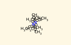 CCc1ccc2cc3c(cc2c1)B(c1c(C)cc(C)cc1C)C1=C2C(=CCC1)N1c4cc5ccc(CC)cc5cc4B(c4c(C)cc(C)cc4C)c4cccc(c41)N23